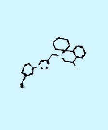 N#Cc1cccc(-n2cc(CN3CC(O)c4ccccc4C34CCCCC4)nn2)c1